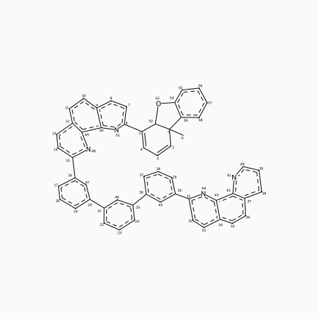 CC12C=CC=C(c3ccc4ccc5ccc(-c6cccc(-c7cccc(-c8cccc(-c9ccc%10ccc%11cccnc%11c%10n9)c8)c7)c6)nc5c4n3)C1Oc1ccccc12